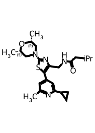 Cc1cc(-c2sc(N3C[C@@H](C)O[C@@H](C)C3)nc2CNC(=O)CC(C)C)cc(C2CC2)n1